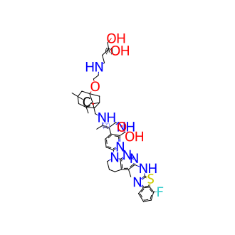 C/C(NCC1CC2(C)CC3(C)CC1CC(OCCNCC[C@@H](O)CO)(C2)C3)=C(/C=N)c1ccc(N2CCCc3c2nnc(Nc2nc4cccc(F)c4s2)c3C)nc1C(=O)O